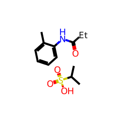 CC(C)S(=O)(=O)O.CCC(=O)Nc1ccccc1C